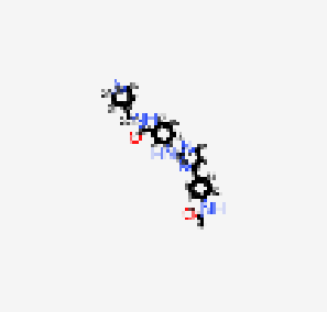 CC(=O)Nc1ccc(-c2ccnc(Nc3cccc(C(=O)NCc4ccncc4)c3)n2)cc1